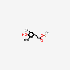 CCSOC(=O)CCc1cc(C(C)(C)C)c(O)c(C(C)(C)C)c1